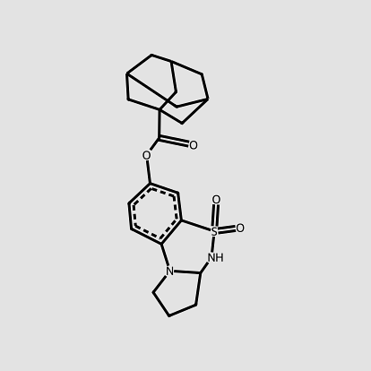 O=C(Oc1ccc2c(c1)S(=O)(=O)NC1CCCN21)C12CC3CC(CC(C3)C1)C2